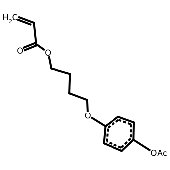 C=CC(=O)OCCCCOc1ccc(OC(C)=O)cc1